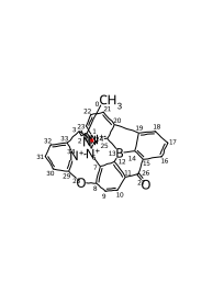 Cc1cc2n(n1)[N+]13c4c(ccc5c4B4c6c(cccc6-c6ccc[n+]1c64)C5=O)Oc1cccc-2[n+]13